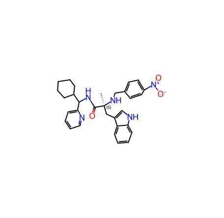 C[C@@](Cc1c[nH]c2ccccc12)(NCc1ccc([N+](=O)[O-])cc1)C(=O)NC(c1ccccn1)C1CCCCC1